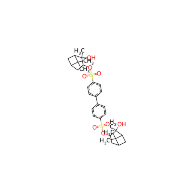 CC1(C)C2CC(OS(=O)(=O)c3ccc(-c4ccc(S(=O)(=O)OC5CC6CC(C6(C)C)C5(C)O)cc4)cc3)C(C)(O)C1C2